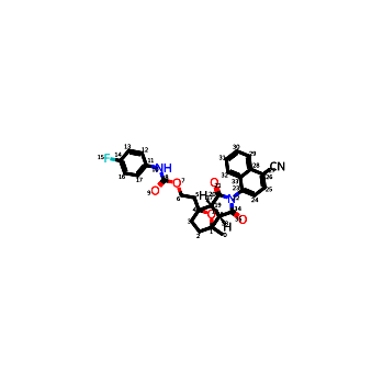 CC12CCC(CCOC(=O)Nc3ccc(F)cc3)(O1)[C@@H]1C(=O)N(c3ccc(C#N)c4ccccc34)C(=O)[C@@H]12